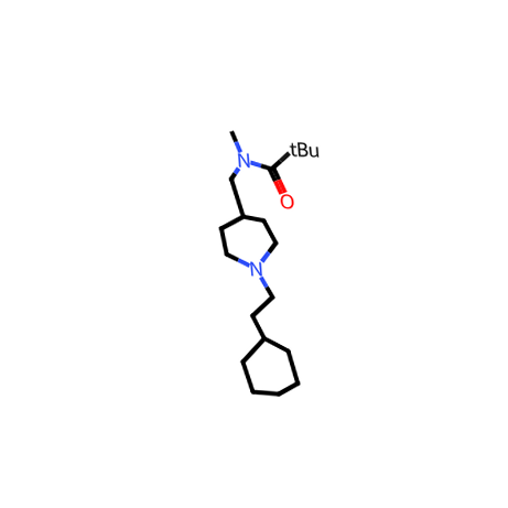 CN(CC1CCN(CCC2CCCCC2)CC1)C(=O)C(C)(C)C